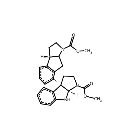 COC(=O)N1CC[C@H]2c3cccc([C@]45CCN(C(=O)OC)[C@H]4Nc4ccccc45)c3CC21